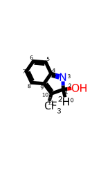 [2H]C1(O)N=c2ccccc2=C1C(F)(F)F